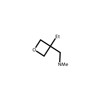 CCC1(CNC)COC1